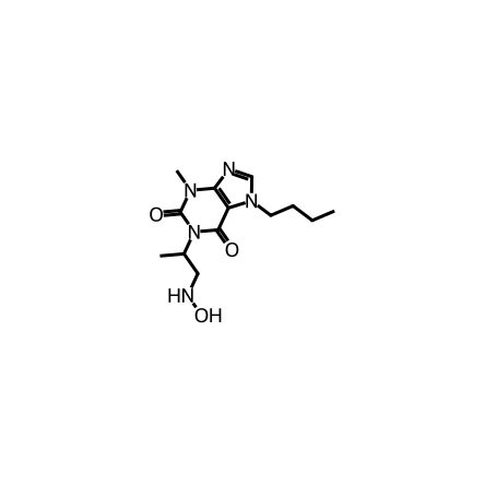 CCCCn1cnc2c1c(=O)n(C(C)CNO)c(=O)n2C